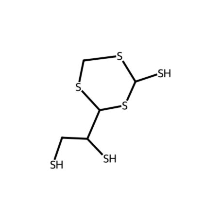 SCC(S)C1SCSC(S)S1